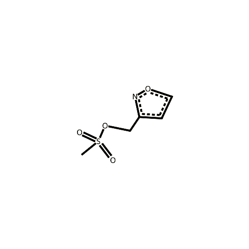 CS(=O)(=O)OCc1ccon1